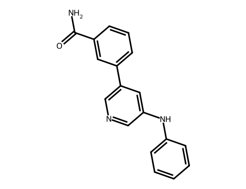 NC(=O)c1cccc(-c2cncc(Nc3ccccc3)c2)c1